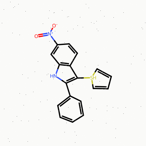 O=[N+]([O-])c1ccc2c([SH]3C=CC=C3)c(-c3ccccc3)[nH]c2c1